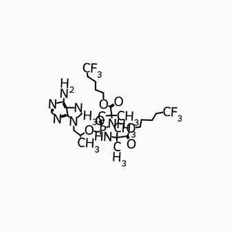 C[C@H](Cn1cnc2c(N)ncnc21)OCP(=O)(NC(C)(C)C(=O)OCCCCC(F)(F)F)NC(C)(C)C(=O)OCCCCC(F)(F)F